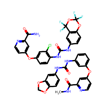 CNC(=O)c1cc(Oc2cccc(NC(=O)Nc3ccc4c(c3)OCO4)c2)ccn1.NC(=O)c1cc(Oc2ccc(NC(=O)Nc3ccc4c(c3)C(F)(F)OC(F)(F)O4)c(Cl)c2)ccn1